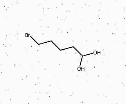 OC(O)CCCCBr